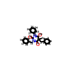 CC1(Cc2ccccc2)C(=O)N(Cc2ccccc2)C(=O)N(c2ccccc2)C1=O